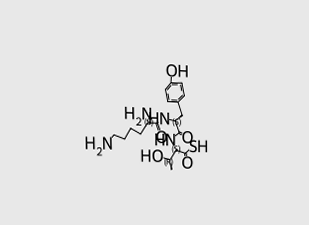 C[C@@H](O)[C@H](NC(=O)[C@H](Cc1ccc(O)cc1)NC(=O)[C@@H](N)CCCCN)C(=O)S